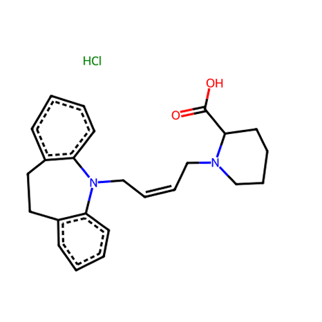 Cl.O=C(O)C1CCCCN1C/C=C\CN1c2ccccc2CCc2ccccc21